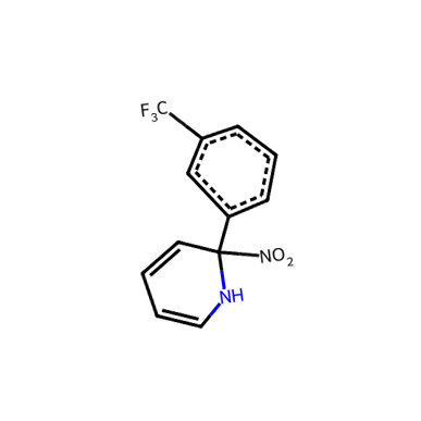 O=[N+]([O-])C1(c2cccc(C(F)(F)F)c2)C=CC=CN1